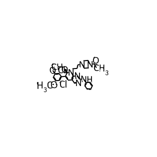 COc1cc(OC)c(Cl)c(-c2cc3cnc(Nc4ccccc4)nc3n(CCCN3CCN(C(C)=O)CC3)c2=O)c1Cl